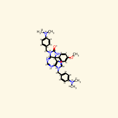 COc1ccc(C23NC(=O)N(Cc4ccc(N(C)C)cc4)C2=NC=Nc2c3ncn2Cc2ccc(N(C)C)cc2)cc1